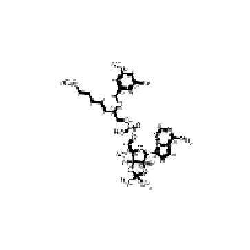 CCCCCCCCCCCCCCC[C@H](COP(=O)(O)OC[C@@]1(C#N)O[C@@H](c2ccc3c(N)ncnn23)[C@@H]2OC(C)(C)O[C@@H]21)OCc1cc(F)cc(C#N)c1